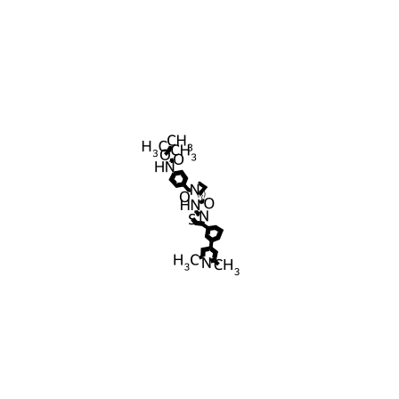 Cc1cc(-c2cccc(-c3csc(NC(=O)[C@H]4CCN4C(=O)c4ccc(NC(=O)OC(C)(C)C)cc4)n3)c2)cc(C)n1